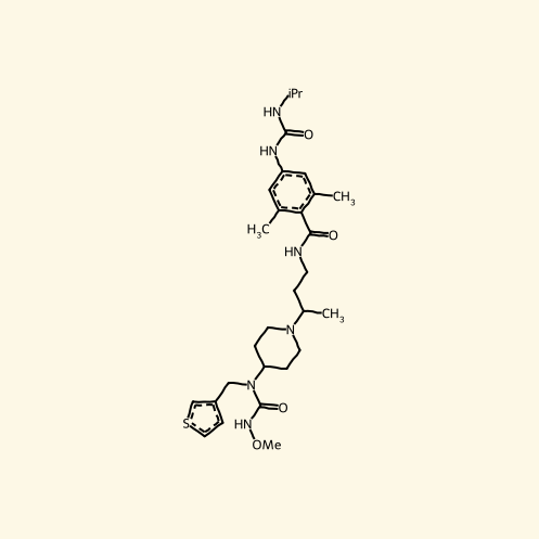 CONC(=O)N(Cc1ccsc1)C1CCN(C(C)CCNC(=O)c2c(C)cc(NC(=O)NC(C)C)cc2C)CC1